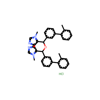 Cc1ccccc1-c1cccc(C(OC(c2cccc(-c3ccccc3C)c2)c2cncn2C)c2cncn2C)c1.Cl